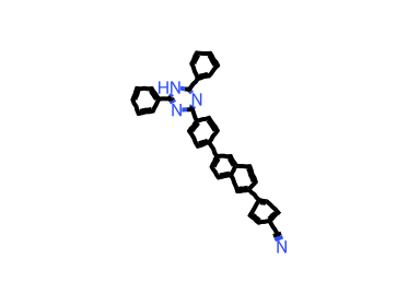 N#Cc1ccc(-c2ccc3cc(-c4ccc(C5=NC(c6ccccc6)NC(c6ccccc6)=N5)cc4)ccc3c2)cc1